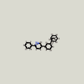 c1ccc(-c2ccc(-c3cccc(C4CC5CCC4CC5)c3)cn2)cc1